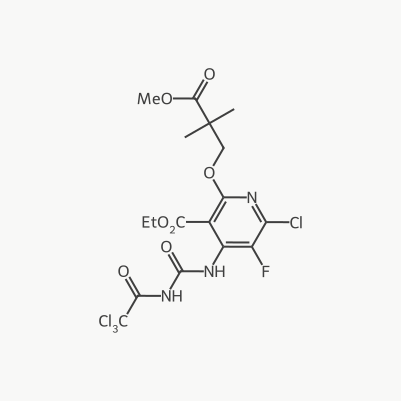 CCOC(=O)c1c(OCC(C)(C)C(=O)OC)nc(Cl)c(F)c1NC(=O)NC(=O)C(Cl)(Cl)Cl